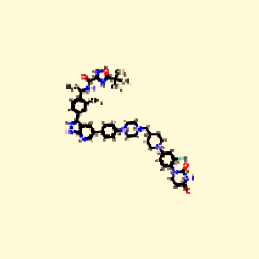 Cc1cc(-c2n[nH]c3ncc(-c4ccc(N5CCN(CC6CCN(c7ccc(N8CCC(=O)NC8=O)c(F)c7)CC6)CC5)cc4)cc23)ccc1C(C)NC(=O)c1noc(C(C)(C)C)n1